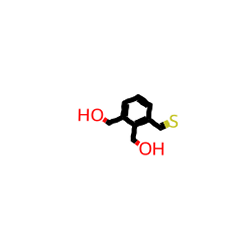 OCc1cccc(C=S)c1CO